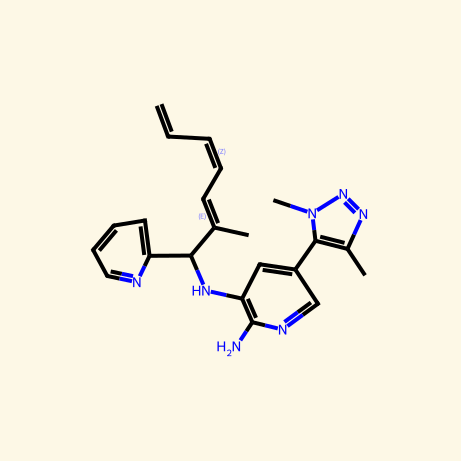 C=C/C=C\C=C(/C)C(Nc1cc(-c2c(C)nnn2C)cnc1N)c1ccccn1